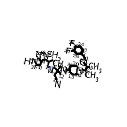 CCC(/C=N\CC1(CC#N)CN(C2CCN(C(C)C(C)OCc3ccc(F)c(F)c3)CC2)C1)C1=c2cc[nH]c2=NCN1C